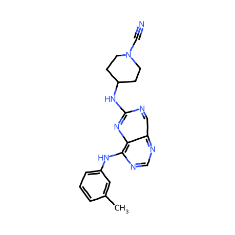 Cc1cccc(Nc2ncnc3cnc(NC4CCN(C#N)CC4)nc23)c1